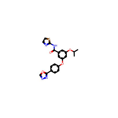 CC(C)Oc1cc(Oc2ccc(-c3nnco3)cc2)cc(C(=O)Nc2nccs2)c1